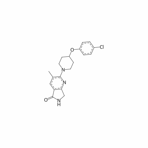 Cc1cc2c(nc1N1CCC(Oc3ccc(Cl)cc3)CC1)CNC2=O